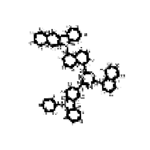 c1ccc(-n2c3ccccc3c3cc(-c4nc(-c5cccc6ccccc56)nc(-c5cccc6c(-n7c8ccccc8c8cc9ccccc9cc87)cccc56)n4)ccc32)cc1